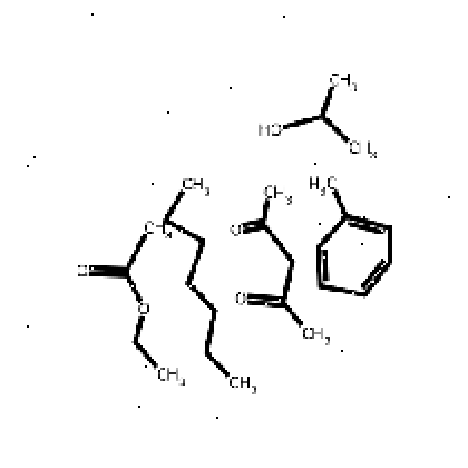 CC(=O)CC(C)=O.CC(C)O.CCCCCCC.CCOC(C)=O.Cc1ccccc1